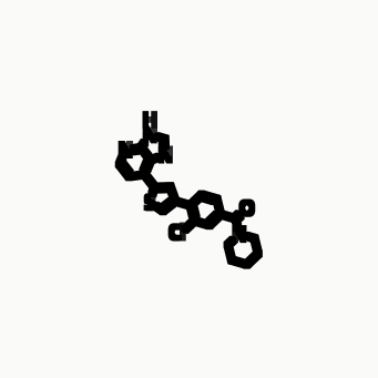 O=C(c1ccc(-c2csc(-c3ccnc4[nH]cnc34)c2)c(Cl)c1)N1CCCCC1